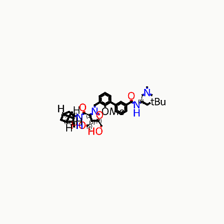 COc1c(CN2O[C@@H](CO)[C@H]([C@H](C)O)[C@H]2C(=O)N[C@H]2C[C@H]3C[C@@H]([C@@H]2C)C3(C)C)cccc1-c1cccc(C(=O)N[C@H](CN(C)C)CC(C)(C)C)c1